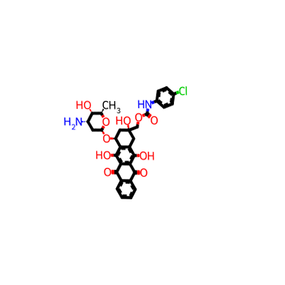 C[C@@H]1O[C@@H](O[C@H]2C[C@](O)(COC(=O)Nc3ccc(Cl)cc3)Cc3c(O)c4c(c(O)c32)C(=O)c2ccccc2C4=O)C[C@H](N)[C@@H]1O